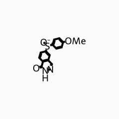 COc1ccc([S+]([O-])c2ccc3c(=O)[nH]ncc3c2)cc1